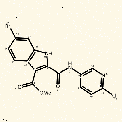 COC(=O)c1c(C(=O)Nc2ccc(Cl)nc2)[nH]c2cc(Br)ccc12